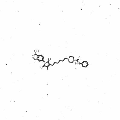 CC1=C(CCCCCCN2CCN(C(=S)Nc3ccccc3)CC2)C(=O)N(c2ccc3c(c2)COC3O)C1=O